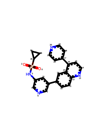 O=S(=O)(Nc1cncc(-c2ccc3nccc(-c4ccncc4)c3c2)c1)C1CC1